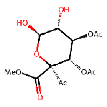 COC(=O)[C@@]1(C(C)=O)O[C@@H](O)[C@H](O)[C@@H](OC(C)=O)[C@@H]1OC(C)=O